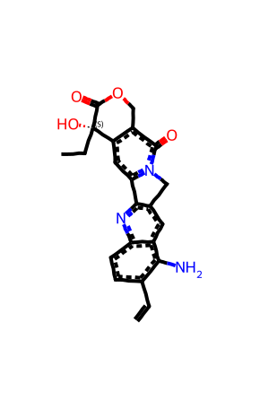 C=Cc1ccc2nc3c(cc2c1N)Cn1c-3cc2c(c1=O)COC(=O)[C@]2(O)CC